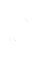 O=[N+]([O-])CCc1c[nH]c2ccc(Cl)cc12